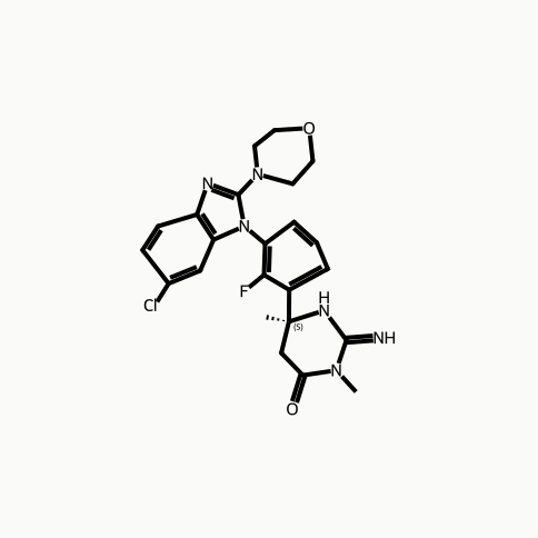 CN1C(=N)N[C@](C)(c2cccc(-n3c(N4CCOCC4)nc4ccc(Cl)cc43)c2F)CC1=O